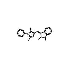 Cc1cc(C=C2c3ccccc3N(C)C2C)c(C)n1-c1ccccc1